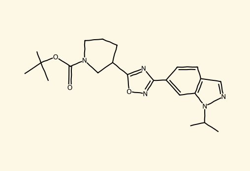 CC(C)n1ncc2ccc(-c3noc(C4CCCN(C(=O)OC(C)(C)C)C4)n3)cc21